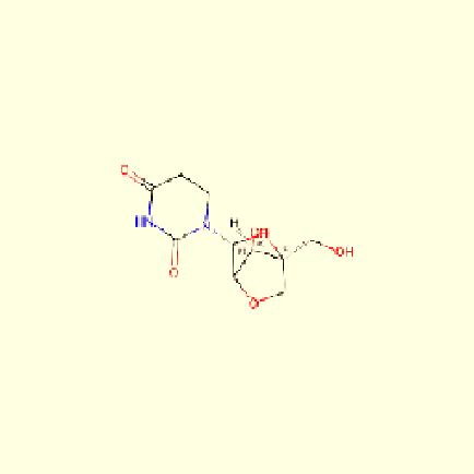 O=C1CCN([C@@H]2O[C@@]3(CO)COC2[C@H]3O)C(=O)N1